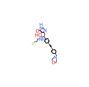 O=c1[nH]cnc(CC(CNCCCF)c2ccc(C#Cc3ccc(CN4CCOCC4)cc3)cc2)c1O